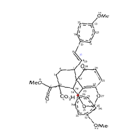 COC(=O)C1(C(=O)O)CCC(/C=C/c2ccc(OC)cc2)C2(C(=O)C=CC3=C2COCO3)C1c1ccc(OC)cc1